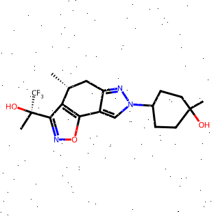 C[C@@H]1Cc2nn(C3CCC(C)(O)CC3)cc2-c2onc([C@@](C)(O)C(F)(F)F)c21